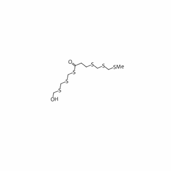 CSCSCSCCC(=O)SCSCSCO